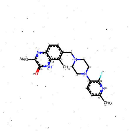 COc1nc2ccc(CN3CCN(c4ccc(C=O)nc4F)CC3)c(C)c2[nH]c1=O